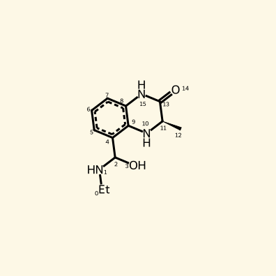 CCNC(O)c1cccc2c1N[C@H](C)C(=O)N2